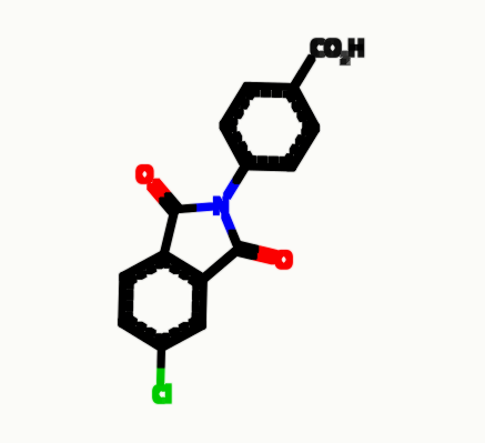 O=C(O)c1ccc(N2C(=O)c3ccc(Cl)cc3C2=O)cc1